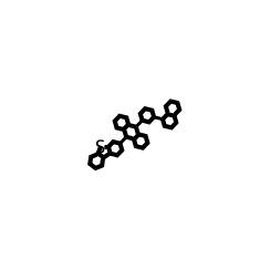 c1cc(-c2cccc3ccccc23)cc(-c2c3ccccc3c(-c3ccc4c(c3)sc3ccccc34)c3ccccc23)c1